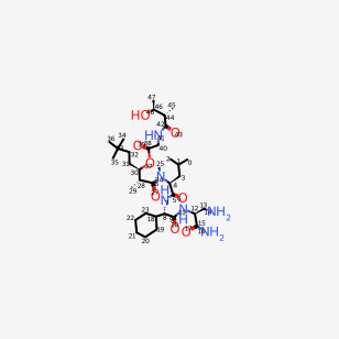 CC(C)C[C@@H](C(=O)N[C@H](C(=O)N[C@@H](CN)C(N)=O)C1CCCCC1)N(C)C(=O)[C@H](C)[C@@H](CCC(C)(C)C)OC(=O)CNC(=O)[C@@H](C)[C@H](C)O